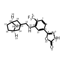 O=c1[nH]nc(-c2ccc(C(F)(F)F)c(NCC3C[C@H]4CC[C@@H](C3)N4)c2)o1